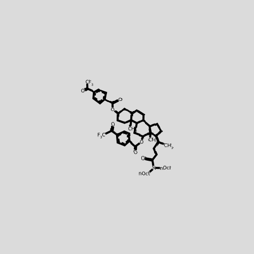 CCCCCCCCN(CCCCCCCC)C(=O)CCC(C)C1CCC2C3CCC4CC(OC(=O)c5ccc(C(=O)C(F)(F)F)cc5)CCC4(C)C3CC(OC(=O)c3ccc(C(=O)C(F)(F)F)cc3)C12C